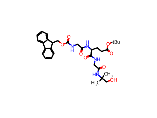 CC(C)(CO)NC(=O)CNC(=O)C(CCC(=O)OC(C)(C)C)NC(=O)CNC(=O)OCC1c2ccccc2-c2ccccc21